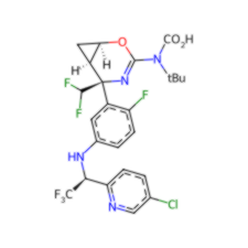 CC(C)(C)N(C(=O)O)C1=N[C@@](c2cc(N[C@@H](c3ccc(Cl)cn3)C(F)(F)F)ccc2F)(C(F)F)[C@H]2C[C@H]2O1